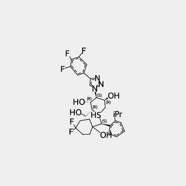 CC(C)c1ccccc1[C@H]([SH]1C[C@H](O)[C@H](n2cc(-c3cc(F)c(F)c(F)c3)nn2)[C@@H](O)[C@H]1CO)C1(O)CCC(F)(F)CC1